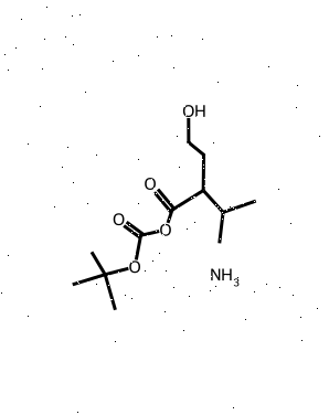 CC(C)C(CCO)C(=O)OC(=O)OC(C)(C)C.N